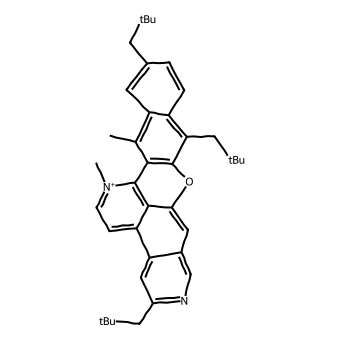 Cc1c2c(c(CC(C)(C)C)c3ccc(CC(C)(C)C)cc13)Oc1cc3cnc(CC(C)(C)C)cc3c3cc[n+](C)c-2c13